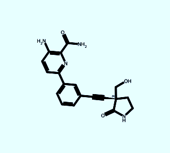 NC(=O)c1nc(-c2cccc(C#C[C@@]3(CO)CCNC3=O)c2)ccc1N